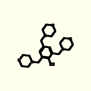 Oc1c(CN2CCOCC2)cc(CN2CCOCC2)cc1CN1CCOCC1